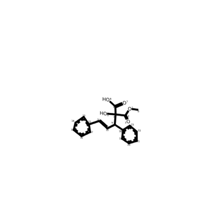 COC(=O)C(O)(C(=O)O)C(C=Cc1ccccc1)c1ccccc1